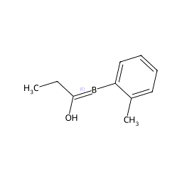 CC/C(O)=B\c1ccccc1C